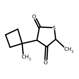 CC1SC(=O)C(C2(C)CCC2)C1=O